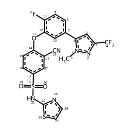 Cn1nc(C(F)(F)F)cc1-c1ccc(F)c(Oc2ccc(S(=O)(=O)Nc3nccs3)cc2C#N)c1